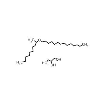 CCCCCCCCCCCCCCOC(C)CCCCCCCC.OCC(O)CO